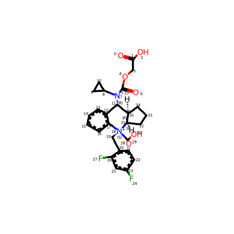 O=C(O)COC(=O)N(C1CC1)[C@H]1c2ccccc2[N@@+](Cc2ccc(F)cc2F)(C(=O)O)[C@@H]2CCC[C@@H]21